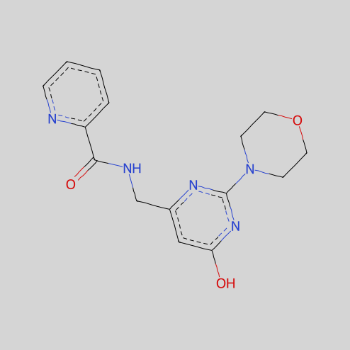 O=C(NCc1cc(O)nc(N2CCOCC2)n1)c1ccccn1